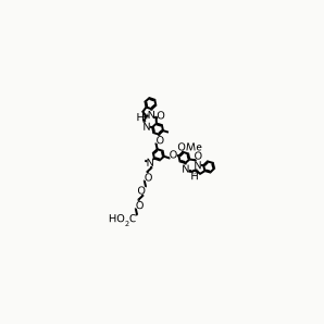 COc1cc2c(cc1OCc1cc(COc3cc4c(cc3C)C(=O)N3c5ccccc5C[C@H]3C=N4)cc(N(C)CCOCCOCCOCCC(=O)O)c1)N=C[C@@H]1Cc3ccccc3N1C2=O